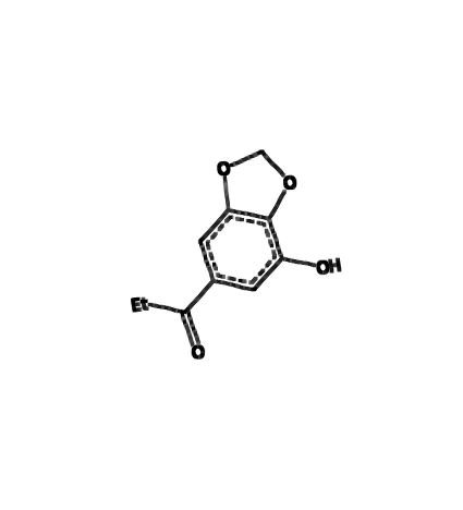 CCC(=O)c1cc(O)c2c(c1)OCO2